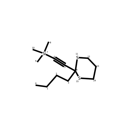 CCCCC1(C#C[Si](C)(C)C)SCCCS1